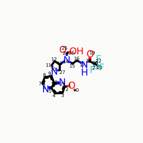 COc1ccc2nccc(N3CCC(N(CCNC(=O)C(F)(F)F)C(=O)O)C3)c2n1